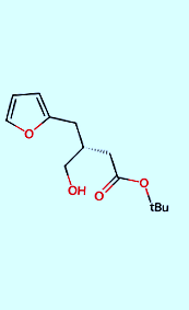 CC(C)(C)OC(=O)C[C@H](CO)Cc1ccco1